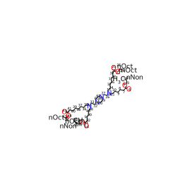 CCCCCCCCCC(C)COC(=O)CCCCCN(CCCCCCCC(=O)OC(CCCCCCCC)CCCCCCCC)CCN1CCN(CCN(CCCCCCCC(=O)OC(CCCCCCCC)CCCCCCCC)CCCCCC(=O)OCC(C)CCCCCCCCC)CC1